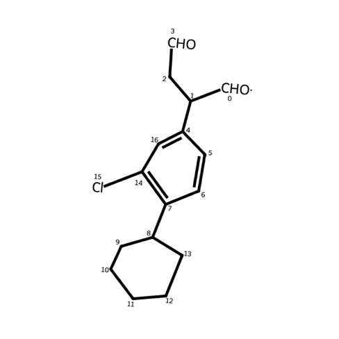 O=[C]C(CC=O)c1ccc(C2CCCCC2)c(Cl)c1